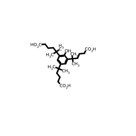 CC(C)(CCCC(=O)O)c1cc(C(C)(C)CCCC(=O)O)c(O)c(C(C)(C)CCCC(=O)O)c1